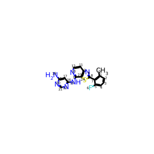 Cc1cccc(F)c1-c1nc2ccnc(Nc3cc(N)ncn3)c2s1